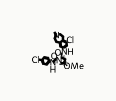 CO[C@@H]1C[C@H](C(=O)Nc2cc(Cl)c3c(c2)CCN(C)CC3)N(C(=O)Nc2ccc(Cl)cc2)C1